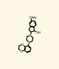 COc1ccc2c(c1)CC(N1CCN(c3cccc4c3OCCO4)CC1)C2O